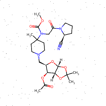 COC(=O)N(CC(=O)N1CCC[C@H]1C#N)C1(C)CCN(C[C@H]2O[C@@H]3OC(C)(C)O[C@@H]3[C@H]2OC(C)=O)CC1